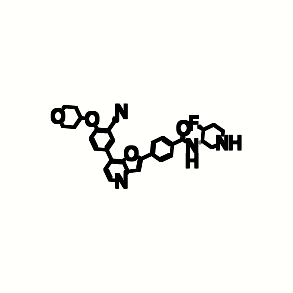 N#Cc1cc(-c2ccnc3cc(-c4ccc(C(=O)N[C@H]5CNCC[C@@H]5F)cc4)oc23)ccc1OC1CCOCC1